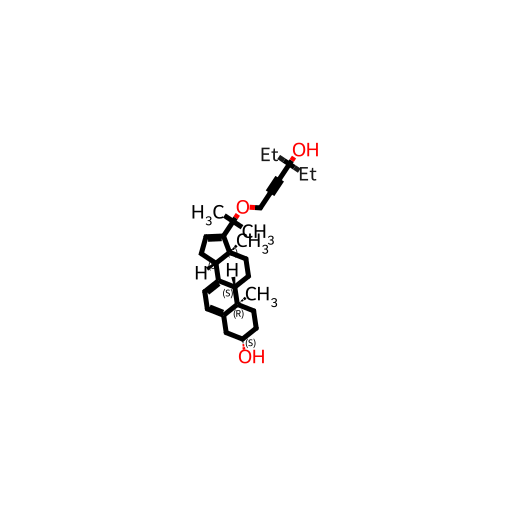 CCC(O)(C#CCOC(C)(C)C1=CC[C@H]2C3=CC=C4C[C@@H](O)CC[C@]4(C)[C@H]3CC[C@]12C)CC